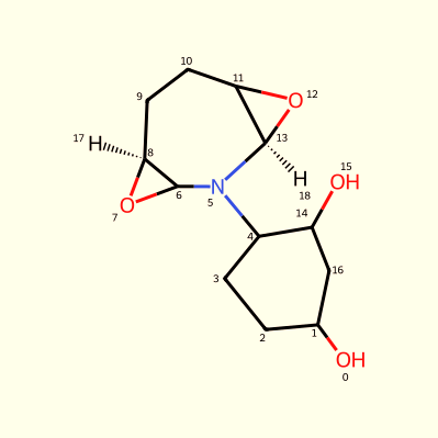 OC1CCC(N2C3O[C@H]3CCC3O[C@H]32)C(O)C1